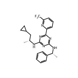 C[C@H](CC1CC1)Nc1nc(N[C@H](C)c2ccccc2)nc(-c2cccc(C(F)(F)F)n2)n1